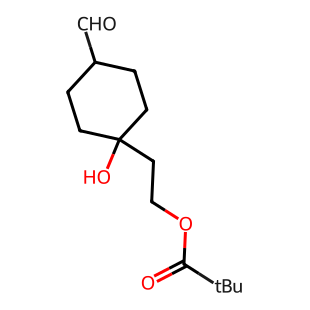 CC(C)(C)C(=O)OCCC1(O)CCC(C=O)CC1